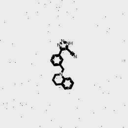 N#Cc1[nH]nnc1-c1cccc(CN2CCCc3ccccc32)c1